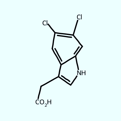 O=C(O)Cc1c[nH]c2cc(Cl)c(Cl)cc12